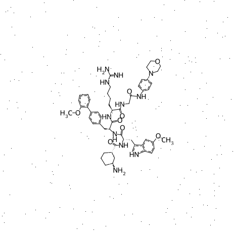 COc1ccc2[nH]cc(C[C@H](NC(=O)[C@H]3CCC[C@H](N)C3)C(=O)N[C@@H](Cc3ccc(-c4ccccc4OC)cc3)C(=O)N[C@@H](CCCCNC(=N)N)C(=O)NCC(=O)Nc3ccc(N4CCOCC4)cc3)c2c1